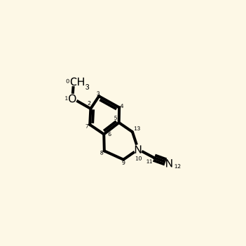 COc1ccc2c(c1)CCN(C#N)C2